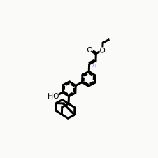 CCOC(=O)/C=C/c1cccc(-c2ccc(O)c(C34CC5CC(CC(C5)C3)C4)c2)c1